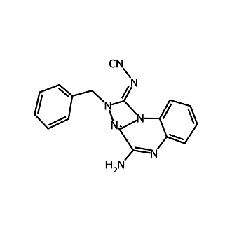 [C-]#[N+]N=c1n(Cc2ccccc2)nc2c(N)nc3ccccc3n12